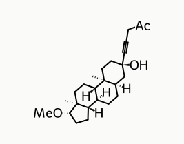 CO[C@H]1CC[C@H]2[C@@H]3CC[C@@H]4C[C@@](O)(C#CCC(C)=O)CC[C@]4(C)[C@H]3CC[C@]12C